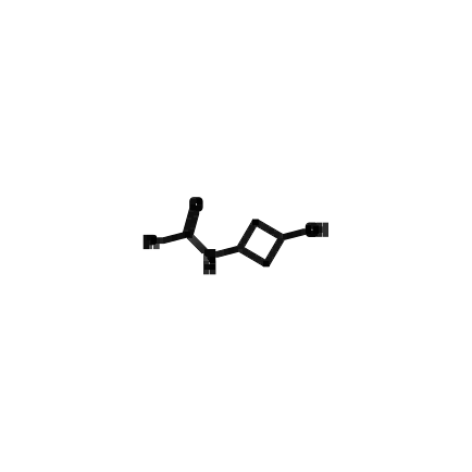 CC(C)C(=O)NC1CC(O)C1